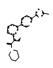 Cc1nnc(-c2ccc(-c3cccc4c(C(=O)N5CCCCC5)cnn34)cn2)o1